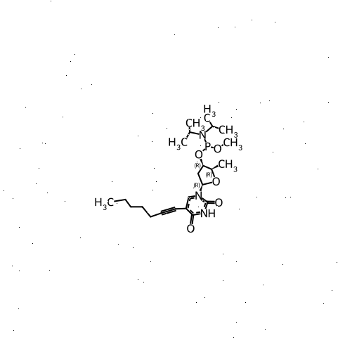 CCCCCC#Cc1cn([C@H]2C[C@@H](OP(OC)N(C(C)C)C(C)C)[C@@H](C)O2)c(=O)[nH]c1=O